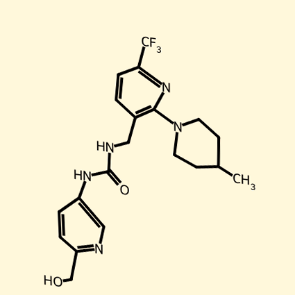 CC1CCN(c2nc(C(F)(F)F)ccc2CNC(=O)Nc2ccc(CO)nc2)CC1